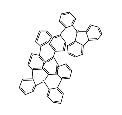 c1ccc(-c2ccc(-c3ccccc3N(c3ccc(-c4ccc(-c5ccccc5-n5c6ccccc6c6ccccc65)cc4)cc3)c3ccccc3-c3ccccc3)cc2)cc1